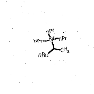 CCCCC(C)[N+](CCC)(CCC)CCC